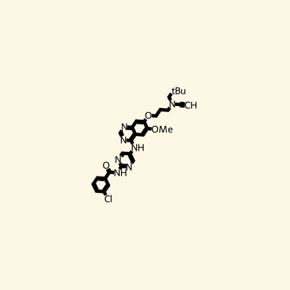 C#CN(CCCOc1cc2ncnc(Nc3cnc(NC(=O)c4cccc(Cl)c4)nc3)c2cc1OC)CC(C)(C)C